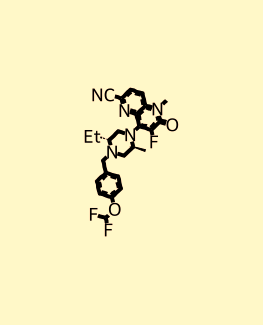 CC[C@@H]1CN(c2c(F)c(=O)n(C)c3ccc(C#N)nc23)[C@@H](C)CN1Cc1ccc(OC(F)F)cc1